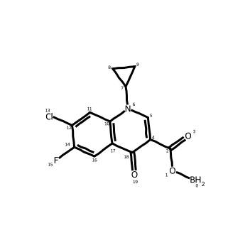 BOC(=O)c1cn(C2CC2)c2cc(Cl)c(F)cc2c1=O